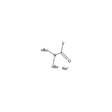 CCCCN(CCCC)C(=O)[S-].[Na+]